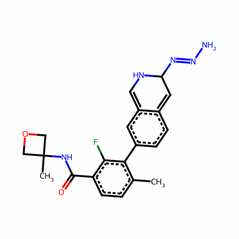 Cc1ccc(C(=O)NC2(C)COC2)c(F)c1-c1ccc2c(c1)=CNC(N=NN)C=2